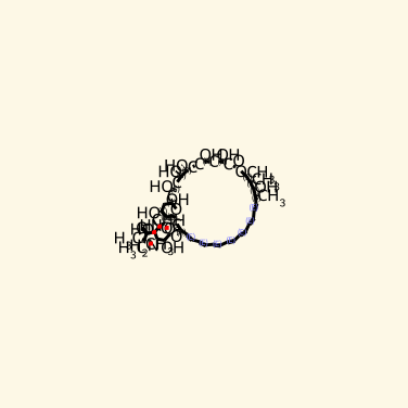 CC1OC(O[C@H]2/C=C/C=C/C=C/C=C/C=C/C=C/C=C/[C@H](C)[C@@H](O)[C@@H](C)[C@H](C)OC(=O)C[C@H](O)C[C@H](O)CC[C@@H](O)[C@H](O)C[C@H](O)C[C@]3(O)C[C@H](O)[C@@H](C(=O)NCC(=O)C(C)(C)C)[C@H](C2)O3)C(O)C(N)C1O